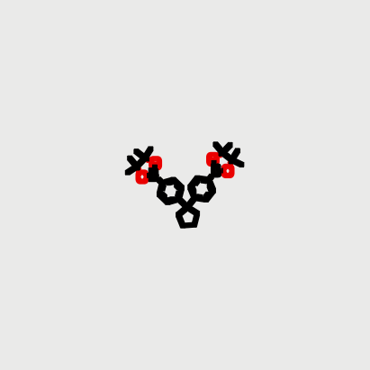 CC1(C)OB(c2ccc(C3(c4ccc(B5OC(C)(C)C(C)(C)O5)cc4)CCCC3)cc2)OC1(C)C